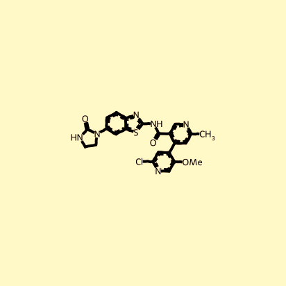 COc1cnc(Cl)cc1-c1cc(C)ncc1C(=O)Nc1nc2ccc(N3CCNC3=O)cc2s1